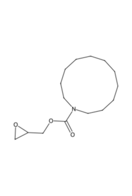 O=C(OCC1CO1)N1CCCCCCCCCCC1